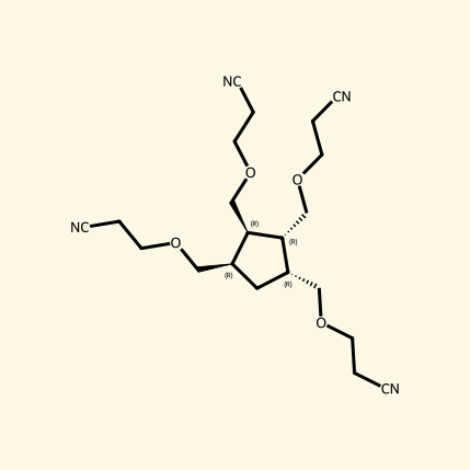 N#CCCOC[C@@H]1C[C@@H](COCCC#N)[C@@H](COCCC#N)[C@@H]1COCCC#N